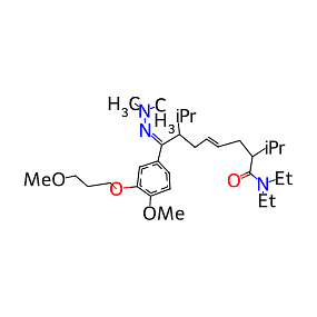 CCN(CC)C(=O)C(C/C=C/CC(C(=NN(C)C)c1ccc(OC)c(OCCCOC)c1)C(C)C)C(C)C